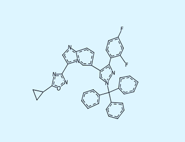 Fc1ccc(-c2nn(C(c3ccccc3)(c3ccccc3)c3ccccc3)cc2-c2ccc3ncc(-c4noc(C5CC5)n4)n3c2)c(F)c1